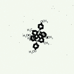 COc1ccc(P(c2ccc(OC)cc2)c2cc(C)cc3c2C2(CC3(C)C)CC(C)(C)c3cc(C)cc(P(c4ccc(OC)cc4)c4ccc(OC)cc4)c32)cc1